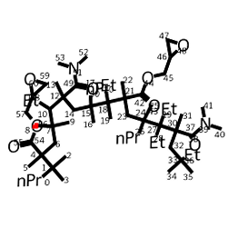 CCCC(C)(C)C(C)(CC(C)(C)C(CC)C(C)(CC(C)(CCC)C(C)(CC)C(C)(CC(C)(CCC)C(CC)(CC)C(C)(CC(C)(C)CC)C(=O)N(C)C)C(=O)OCC1CO1)C(=O)N(C)C)C(=O)OCC1CO1